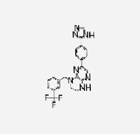 FC(F)(F)c1cccc(CN2CCNc3ncc(-c4ccc(-c5nnc[nH]5)cc4)nc32)c1